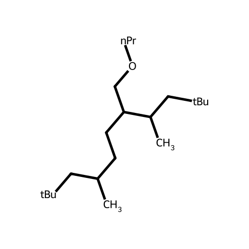 C[CH]COCC(CCC(C)CC(C)(C)C)C(C)CC(C)(C)C